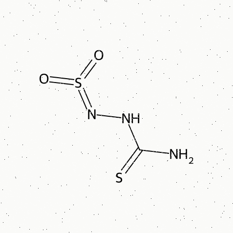 NC(=S)NN=S(=O)=O